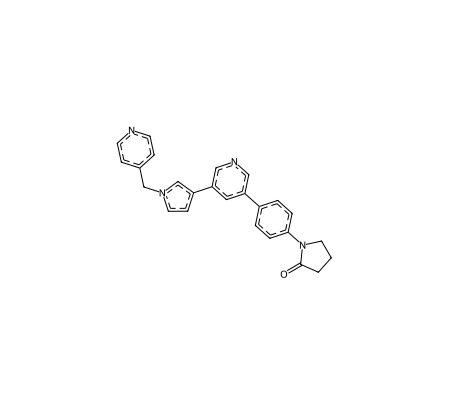 O=C1CCCN1c1ccc(-c2cncc(-c3ccn(Cc4ccncc4)c3)c2)cc1